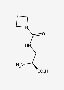 N[C@@H](CNC(=O)N1CCC1)C(=O)O